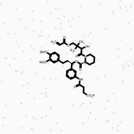 C=CC(=O)OCC(C)(C)C(O)C(=O)N1CCCC[C@H]1C(=O)O[C@H](CCc1ccc(OC)c(OC)c1)c1cccc(NC(=O)CCC(=O)O)c1